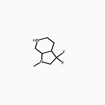 CN1CC(F)(F)C2CCNCC21